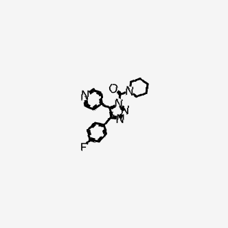 O=C(N1CCCCC1)n1nnc(-c2ccc(F)cc2)c1-c1ccncc1